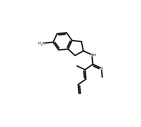 C=C/C=C(C)/C(=N\C)NC1Cc2ccc(N)cc2C1